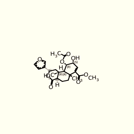 COC(=O)C1=C[C@H](O)[C@H](OC(C)=O)[C@@H]2[C@@]3(C)C[C@@H](c4ccoc4)OC(=O)[C@@H]3CC[C@@]12C